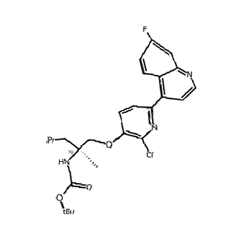 CC(C)C[C@@](C)(COc1ccc(-c2ccnc3cc(F)ccc23)nc1Cl)NC(=O)OC(C)(C)C